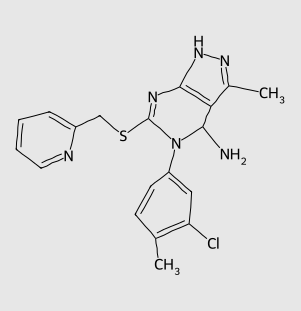 Cc1ccc(N2C(SCc3ccccn3)=Nc3[nH]nc(C)c3C2N)cc1Cl